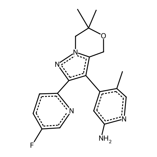 Cc1cnc(N)cc1-c1c(-c2ccc(F)cn2)nn2c1COC(C)(C)C2